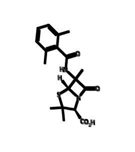 Cc1cccc(C)c1C(=O)NC1(C)C(=O)N2[C@@H](C(=O)O)C(C)(C)S[C@@H]21